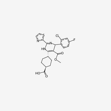 COC(=O)C1=C([C@H]2CC[C@H](C(=O)O)CC2)NC(c2nccs2)=NC1c1ccc(F)cc1Cl